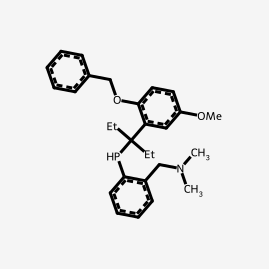 CCC(CC)(Pc1ccccc1CN(C)C)c1cc(OC)ccc1OCc1ccccc1